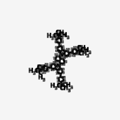 CC(C)(C)c1ccc(-c2ccc3c(c2)c2cc(-c4ccc(C(C)(C)C)cc4)ccc2n3-c2cccc3c(-n4c5ccc(-c6ccc(C(C)(C)C)cc6)cc5c5cc(-c6ccc(C(C)(C)C)cc6)ccc54)cccc23)cc1